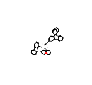 c1ccc(-c2nc(-c3ccc4c(c3)-c3ccccc3C43C4CC5CC(C4)CC3C5)nc(-c3cccc4c5ccccc5n(-c5ccccc5)c34)n2)cc1